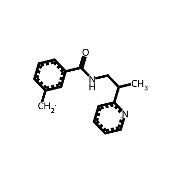 [CH2]c1cccc(C(=O)NCC(C)c2ccccn2)c1